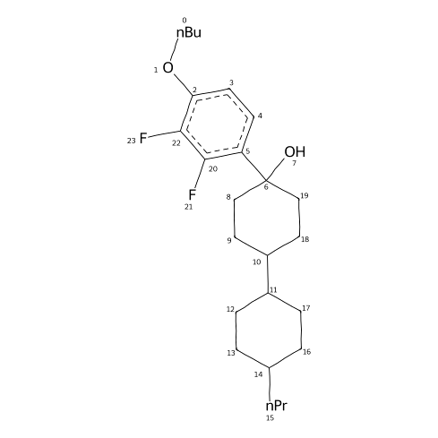 CCCCOc1ccc(C2(O)CCC(C3CCC(CCC)CC3)CC2)c(F)c1F